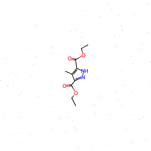 CCOC(=O)c1n[nH]c(C(=O)OCC)c1C